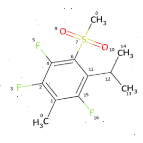 Cc1c(F)c(F)c(S(C)(=O)=O)c(C(C)C)c1F